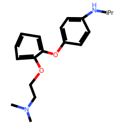 CC(C)Nc1ccc(Oc2ccccc2OCCN(C)C)cc1